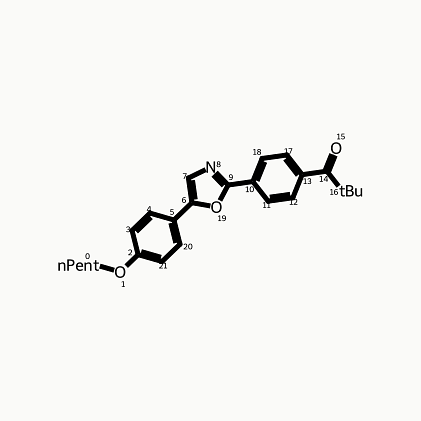 CCCCCOc1ccc(-c2cnc(-c3ccc(C(=O)C(C)(C)C)cc3)o2)cc1